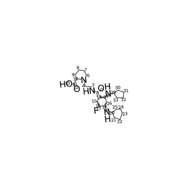 O=C(NCCN1CCCCC1C(=O)O)c1cc(F)c(NC2CCCCC2)cc1NC1CCCC1